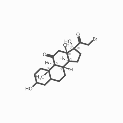 C[C@]12CCC(O)CC1CC[C@@H]1[C@@H]2C(=O)C[C@@]2(C)[C@H]1CC[C@]2(O)C(=O)CBr